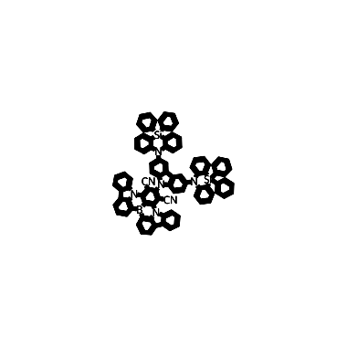 N#Cc1c(-n2c3ccc(N4c5ccccc5[Si](c5ccccc5)(c5ccccc5)c5ccccc54)cc3c3cc(N4c5ccccc5[Si](c5ccccc5)(c5ccccc5)c5ccccc54)ccc32)c(C#N)c2c3c1-n1c4ccccc4c4cccc(c41)B3c1cccc3c4ccccc4n-2c13